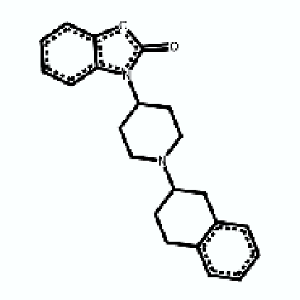 O=c1oc2ccccc2n1C1CCN(C2CCc3ccccc3C2)CC1